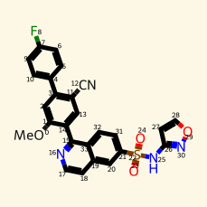 COc1cc(-c2ccc(F)cc2)c(C#N)cc1-c1nccc2cc(S(=O)(=O)Nc3ccon3)ccc12